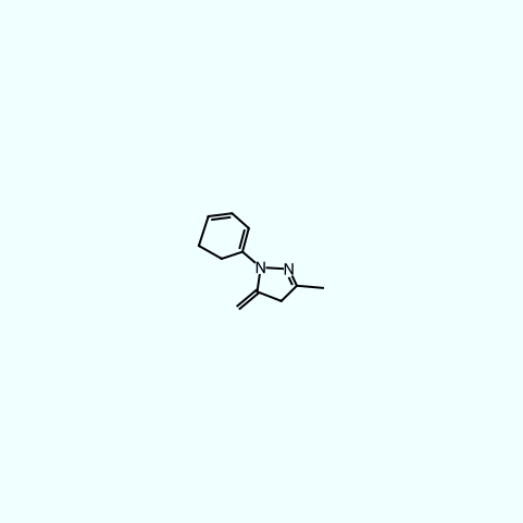 C=C1CC(C)=NN1C1=CC=CCC1